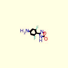 Nc1cc(F)c(-c2noc(=O)[nH]2)c(F)c1